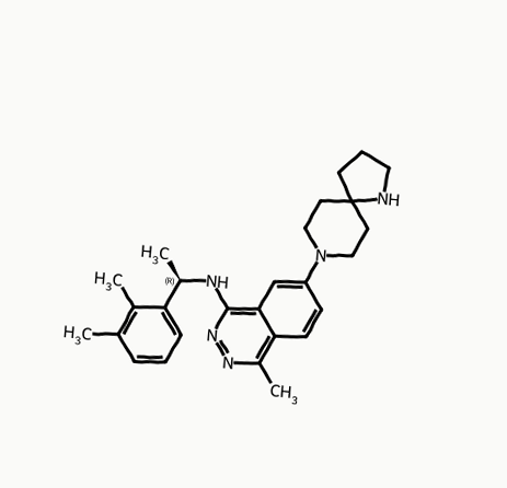 Cc1cccc([C@@H](C)Nc2nnc(C)c3ccc(N4CCC5(CCCN5)CC4)cc23)c1C